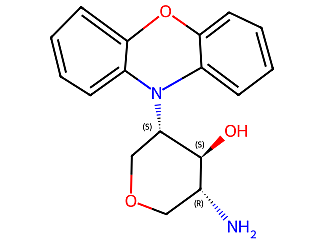 N[C@@H]1COC[C@H](N2c3ccccc3Oc3ccccc32)[C@H]1O